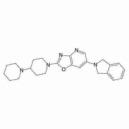 c1ccc2c(c1)CN(c1cnc3nc(N4CCC(N5CCCCC5)CC4)oc3c1)C2